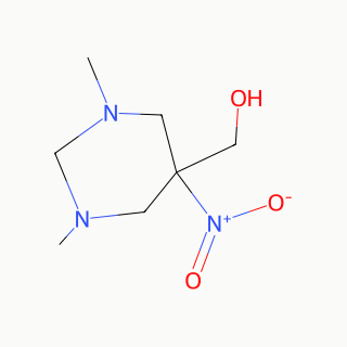 CN1CN(C)CC(CO)([N+](=O)[O-])C1